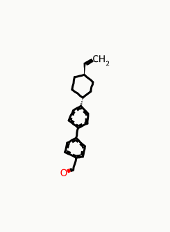 C=C[C@H]1CC[C@H](c2ccc(-c3ccc(C=O)cc3)cc2)CC1